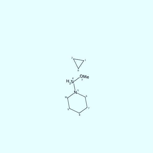 C1CC1.CO[SiH2]N1CCCCC1